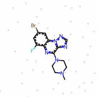 CN1CCN(c2nc3c(F)cc(Br)cc3n3ncnc23)CC1